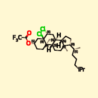 CC(C)CCC[C@@H](C)[C@H]1CC[C@H]2[C@@H]3C[C@@H](Cl)[C@@]4(Cl)C[C@@H](OC(=O)C(F)(F)F)CC[C@]4(C)[C@H]3CC[C@]12C